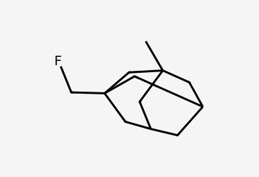 CC12CC3CC(C1)CC(CF)(C3)C2